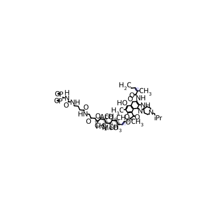 C=C/C=C(/C)C(=O)NC1=C2NC3(CCN(CC(C)C)CC3)N=C2c2c(c(O)c(C)c3c2C(=O)[C@@](C)(O/C=C/[C@H](OC)[C@@H](C)[C@@H](OC(C)=O)[C@H](C)[C@H](O)[C@H](C)[C@H]2OC(C(=O)CNC(=O)CCCNC(=O)NC(P=O)P=O)[C@@H]2C)O3)C1=O